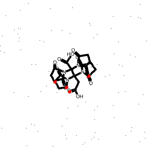 O=C(O)CC(N1C(=O)CCC1=O)(N1C(=O)CCC1=O)C(C(=O)O)(N1C(=O)CCC1=O)N1C(=O)CCC1=O